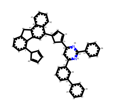 C1=CC(c2cccc3c2-c2cc(C4=CC=C(c5cc(-c6cccc(-c7ccccc7)c6)nc(-c6ccccc6)n5)C4)c4ccccc4c2C3)C=C1